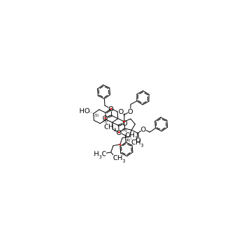 CC(C)CCC[C@@H](C)C1(C(=O)OCc2ccccc2)CCC2(C(=O)OCc3ccccc3)C3(C(=O)OCc4ccccc4)CC=C4C[C@@H](O)CC[C@]4(C)C3(C(=O)OCc3ccccc3)CC[C@]12C